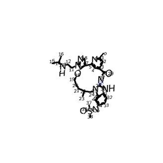 Cc1cc2cc(n1)-c1cnn(CCNC(C)C)c1OCCCC(C)CN1/C(=N/C2=O)Nc2ccc(N=S(C)(C)=O)cc21